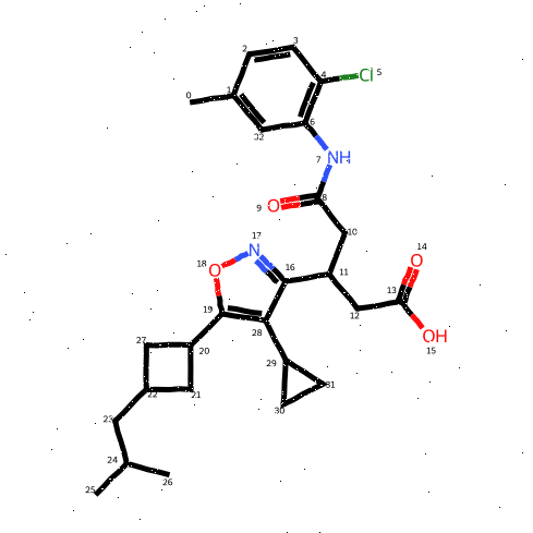 Cc1ccc(Cl)c(NC(=O)CC(CC(=O)O)c2noc(C3CC(CC(C)C)C3)c2C2CC2)c1